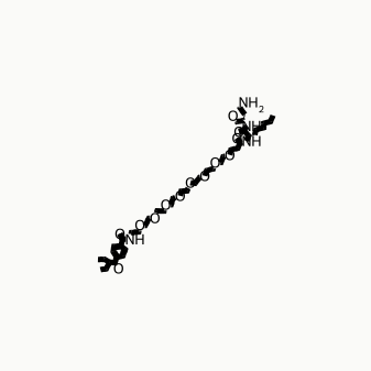 CCCCCC[C@H](NC(=O)CCOCCOCCOCCOCCOCCOCCOCCOCCNC(=O)c1ccc(C(=O)C(CC)CC)cc1)C(=O)N[C@H](C=O)CCN